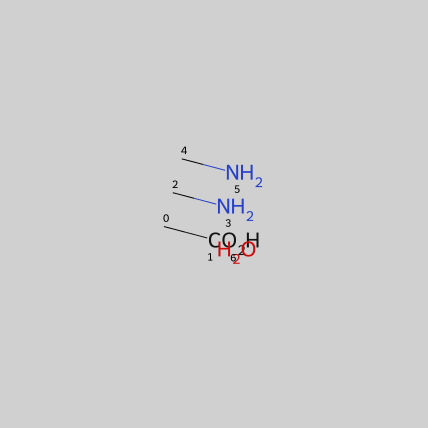 CC(=O)O.CN.CN.O